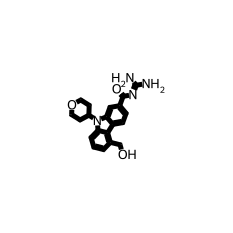 NC(N)=NC(=O)c1ccc2c3c(CO)cccc3n(C3CCOCC3)c2c1